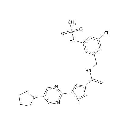 CS(=O)(=O)Nc1cc(Cl)cc(CNC(=O)c2c[nH]c(-c3ncc(N4CCCC4)cn3)c2)c1